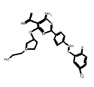 CC(=N)c1c(N)nc(-c2ccc(NSc3cc(Cl)ccc3F)cc2)nc1OC1CCN(CCO)C1